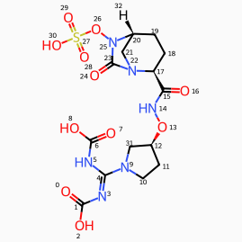 O=C(O)N=C(NC(=O)O)N1CC[C@H](ONC(=O)[C@@H]2CC[C@@H]3CN2C(=O)N3OS(=O)(=O)O)C1